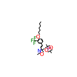 CCCCCCCOc1ccc(C=CC2(COP(=O)(C(C)(C)C)C(C)(C)C)COC(C)=N2)cc1C(F)(F)F